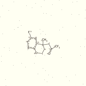 CC1(CC(=O)C(F)(F)F)CCOc2ccc(F)cc21